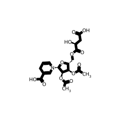 CC(=O)O[C@@H]1[C@H](OC(C)=O)[C@@H](COC(=O)[C@@H](O)CC(=O)O)O[C@H]1N1C=CCC(C(=O)O)=C1